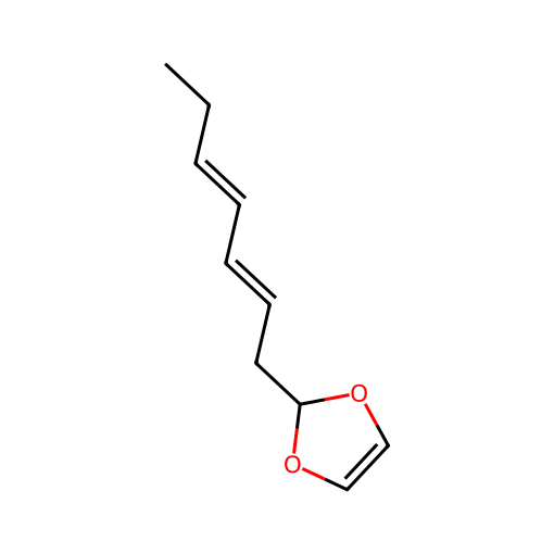 CCC=CC=CCC1OC=CO1